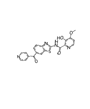 COc1ccnc(C(=O)Nc2nc3ccc(C(=O)c4ccncc4)cc3s2)c1O